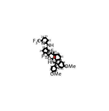 COc1ccc(C(NC2=NC(C)(C)C(F)(F)[C@@](C)(c3cc(Nc4cccc(C(F)(F)F)n4)ccc3F)O2)(c2ccccc2)c2ccc(OC)cc2)cc1